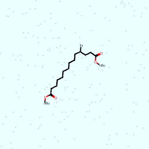 CCCCOC(=O)CCCCCCCCCC(CC)CCC(=O)OCCCC